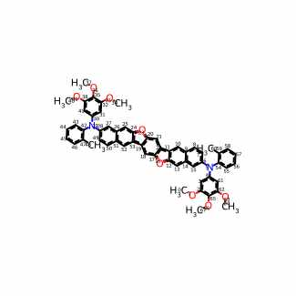 COc1cc(N(c2ccc3cc4c(cc3c2)oc2cc3c(cc24)oc2cc4cc(N(c5cc(OC)c(OC)c(OC)c5)c5ccccc5C)ccc4cc23)c2ccccc2C)cc(OC)c1OC